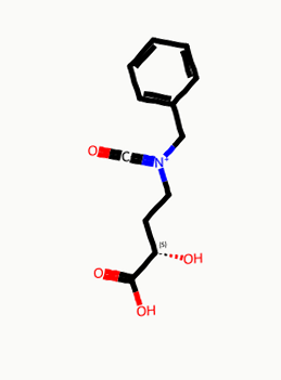 O=C=[N+](CC[C@H](O)C(=O)O)Cc1ccccc1